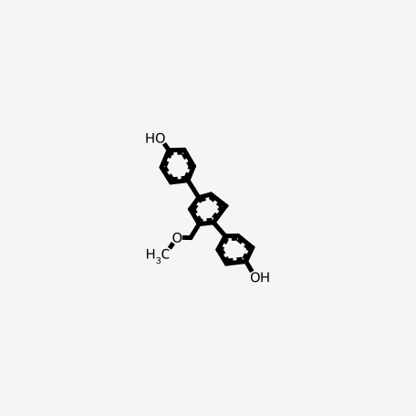 COCc1cc(-c2ccc(O)cc2)ccc1-c1ccc(O)cc1